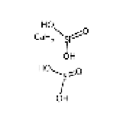 O=[Si](O)O.O=[Si](O)O.[CaH2]